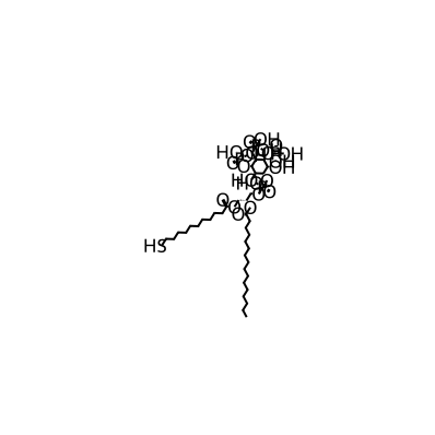 CCCCCCCCCCCCCCCC(=O)O[C@H](COC(=O)CCCCCCCCCCS)COP(=O)(O)OC1C(O)[C@H](OP(=O)(O)O)C(OP(=O)(O)O)[C@H](OP(=O)(O)O)[C@@H]1O